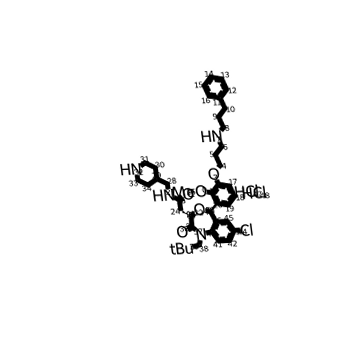 COc1c(OCCCNCCCc2ccccc2)cccc1[C@@H]1O[C@@H](CC(=O)NCC2CCNCC2)C(=O)N(CC(C)(C)C)c2ccc(Cl)cc21.Cl.Cl